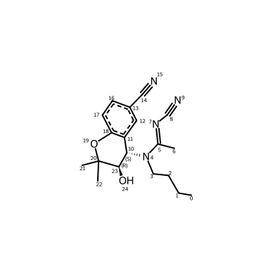 CCCCN(C(C)=NC#N)[C@H]1c2cc(C#N)ccc2OC(C)(C)[C@@H]1O